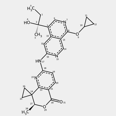 CC[C@](C)(O)c1cnc(OC2CC2)c2cnc(Nc3ccc4c(n3)C3(CC3)[C@H](C)OC4=O)cc12